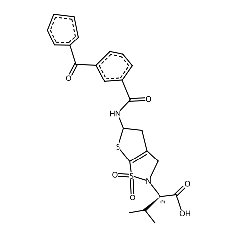 CC(C)[C@H](C(=O)O)N1CC2=C(SC(NC(=O)c3cccc(C(=O)c4ccccc4)c3)C2)S1(=O)=O